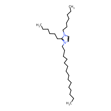 CCCCCCCCCCCCCCC[n+]1ccn(CCCCCCC)c1CCCCCC